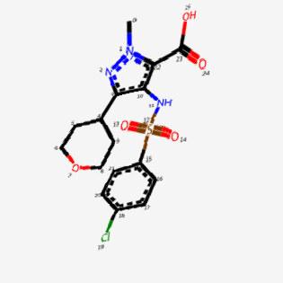 Cn1nc(C2CCOCC2)c(NS(=O)(=O)c2ccc(Cl)cc2)c1C(=O)O